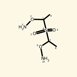 CC(ON)S(=O)(=O)C(C)ON